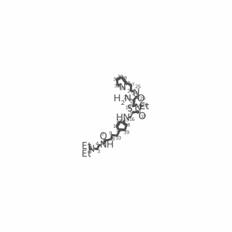 CCN(CC)CCNC(=O)CCCc1ccc(NC[C@H]2SC([C@H](N)C(=O)N(C)CCc3ccccn3)N(CC)C2=O)cc1